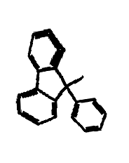 CC1(c2ccccc2)C2=C=C=CC=C2c2ccccc21